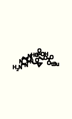 CC(C)(C)OC(=O)OCC(OC1(Cn2cnc3cnc(N)nc32)CC1)P(=O)(O)O